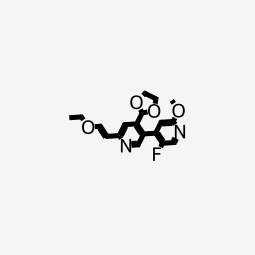 CCOC=Cc1cc(C2OCCO2)c(-c2cc(OC)ncc2F)cn1